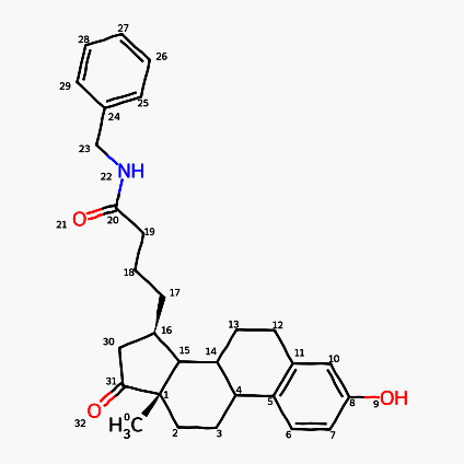 C[C@]12CCC3c4ccc(O)cc4CCC3C1[C@H](CCCC(=O)NCc1ccccc1)CC2=O